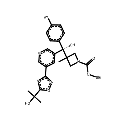 CC(C)c1ccc([C@](O)(c2cncc(-c3noc(C(C)(C)O)n3)c2)C2(C)CN(C(=O)OC(C)(C)C)C2)cc1